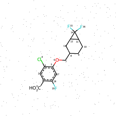 O=C(O)c1cc(Cl)c(OCC2CCC3C(C2)C3(F)F)cc1F